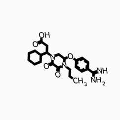 CCCN1C(=O)C(=O)N(C(CC(=O)O)C2CCCCC2)CC1Oc1ccc(C(=N)N)cc1